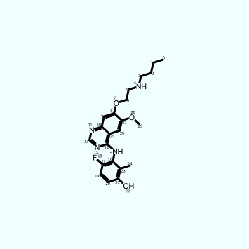 CCCCNCCOc1cc2ncnc(Nc3c(F)ccc(O)c3C)c2cc1OC